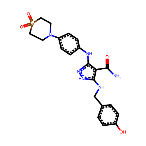 NC(=O)c1c(Nc2ccc(N3CCS(=O)(=O)CC3)cc2)n[nH]c1NCc1ccc(O)cc1